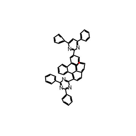 c1ccc(-c2cc(-c3ccccc3)nc(-c3cccc(-c4ccccc4-c4c(-c5nc(-c6ccccc6)nc(-c6ccccc6)n5)ccc5ccccc45)c3)n2)cc1